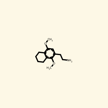 COc1cc(CCN)c(OC)c2c1CCCC2